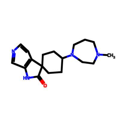 CN1CCCN(C2CCC3(CC2)C(=O)Nc2cnccc23)CC1